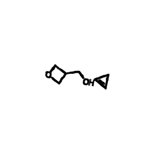 C1=CC1.OCC1COC1